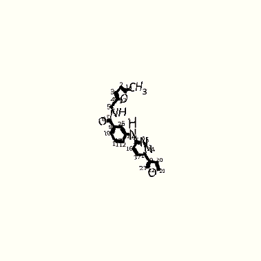 Cc1ccc(CNC(=O)c2cccc(Nc3ccc(-c4ccoc4)nn3)c2)o1